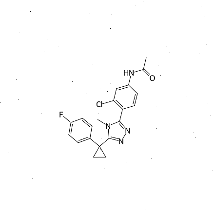 CC(=O)Nc1ccc(-c2nnc(C3(c4ccc(F)cc4)CC3)n2C)c(Cl)c1